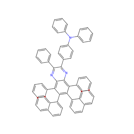 c1ccc(-c2nc3c(-c4ccccc4)c(-c4cccc5ccccc45)c(-c4cccc5ccccc45)c(-c4ccccc4)c3nc2-c2ccc(N(c3ccccc3)c3ccccc3)cc2)cc1